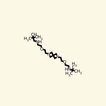 CC(C)(C)CNCCOCCN1CC2(C1)CN(CCOCCNC(C)(C)C)C2